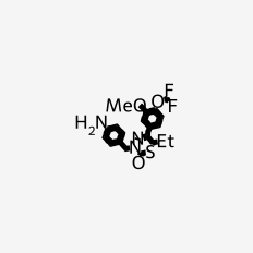 CCC1SC(=O)N(Cc2ccc(N)cc2)N=C1c1ccc(OC(F)F)c(OC)c1